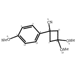 COc1ccc(C2(C#N)CC(OC)(OC)C2)cc1